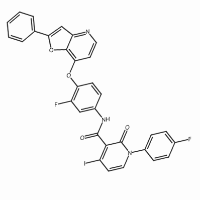 O=C(Nc1ccc(Oc2ccnc3cc(-c4ccccc4)oc23)c(F)c1)c1c(I)ccn(-c2ccc(F)cc2)c1=O